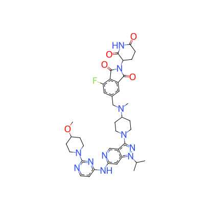 COC1CCN(c2nccc(Nc3cc4c(cn3)c(N3CCC(N(C)Cc5cc(F)c6c(c5)C(=O)N(C5CCC(=O)NC5=O)C6=O)CC3)nn4C(C)C)n2)CC1